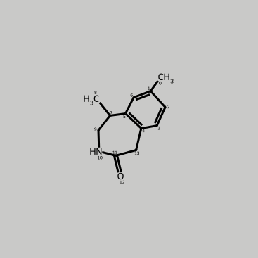 Cc1ccc2c(c1)C(C)CNC(=O)C2